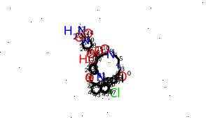 CO[C@H]1/C=C/CCN(C)C(=O)C[C@](O)(C(=O)OC2CCN(S(N)(=O)=O)CC2)c2ccc3c(c2)N(C[C@@H]2CC[C@H]21)C[C@@]1(CCCc2cc(Cl)ccc21)CO3